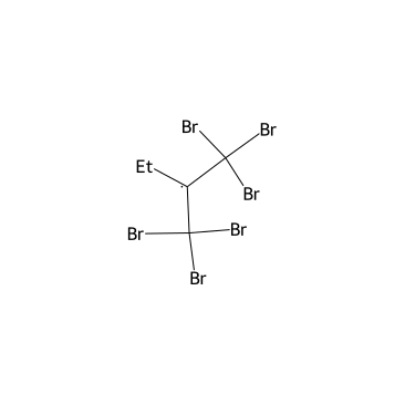 CC[C](C(Br)(Br)Br)C(Br)(Br)Br